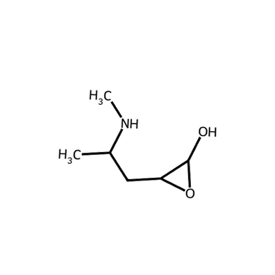 CNC(C)CC1OC1O